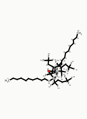 CCCCCCCCCC[O][Sn]([O][Sn]([O]CCCCCCCCCC)([C](F)(F)CCC(F)(F)F)[C](F)(F)CCC(F)(F)F)([C](F)(F)CCC(F)(F)F)[C](F)(F)CCC(F)(F)F